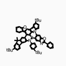 CC(C)(C)c1ccc(N2B3c4cc5nc(-c6ccccc6)oc5cc4-n4c5ccc(C(C)(C)C)cc5c5c6oc7ccccc7c6c(c3c54)-c3cc4c(cc32)-c2ccc(C(C)(C)C)cc2C4(C)C)cc1